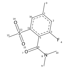 Cc1cc(F)c(C(=O)N(C)C)c(S(C)(=O)=O)c1